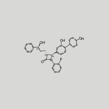 O=C1[C@H](CC[C@H](O)c2ccccc2)[C@@H](c2ccc(-c3ccc(O)cc3)c(O)c2)N1c1ccccc1F